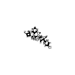 COc1ncnc(OC)c1-n1c(NS(=O)(=O)C(C)C(OC)c2ncc(Cl)cn2)nnc1[C@H]1C[C@H](C)C1